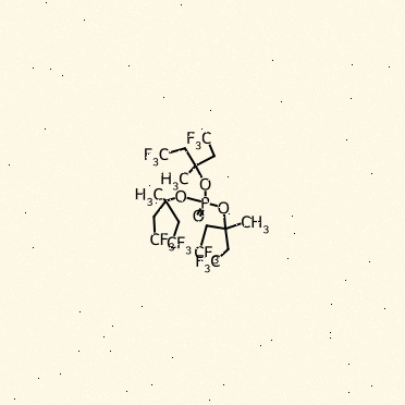 CC(CC(F)(F)F)(CC(F)(F)F)OP(=O)(OC(C)(CC(F)(F)F)CC(F)(F)F)OC(C)(CC(F)(F)F)CC(F)(F)F